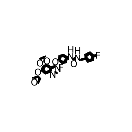 O=C(NCc1ccc(F)cc1)Nc1ccc(Oc2ncnc3cc(OC4CCOC4)c4c(c23)OCCO4)c(F)c1